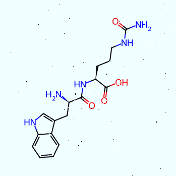 NC(=O)NCCC[C@H](NC(=O)[C@H](N)Cc1c[nH]c2ccccc12)C(=O)O